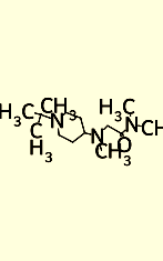 CN(C)C(=O)CN(C)C1CCN(C(C)(C)C)CC1